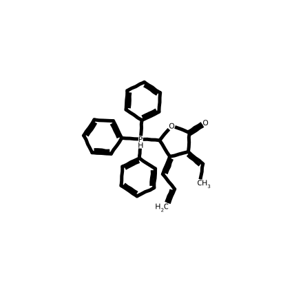 C=C/C=C1\C(=C/C)C(=O)OC1[PH](c1ccccc1)(c1ccccc1)c1ccccc1